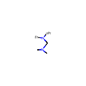 CCCN(CC)CN(C)C